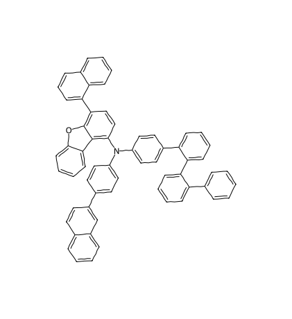 c1ccc(-c2ccccc2-c2ccccc2-c2ccc(N(c3ccc(-c4ccc5ccccc5c4)cc3)c3ccc(-c4cccc5ccccc45)c4oc5ccccc5c34)cc2)cc1